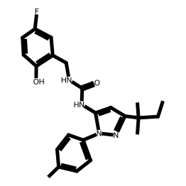 CCC(C)(C)c1cc(NC(=O)NCc2cc(F)ccc2O)n(-c2ccc(C)cc2)n1